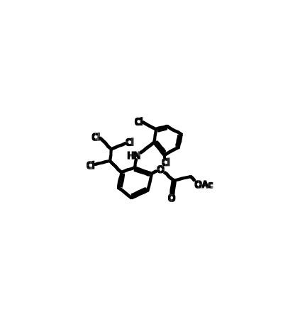 CC(=O)OCC(=O)Oc1cccc(C(Cl)C(Cl)Cl)c1Nc1c(Cl)cccc1Cl